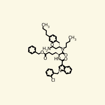 CCCCc1ccc(C[C@@H](CC(N)=O)N(CCCC)C(=O)[C@H](CCCC(=O)OCc2ccccc2)NC(=O)c2cn(Cc3ccccc3Cl)c3ccccc23)cc1